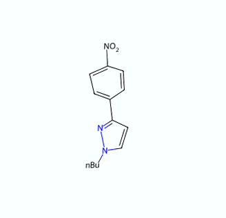 CCCCn1ccc(-c2ccc([N+](=O)[O-])cc2)n1